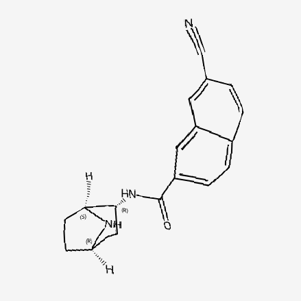 N#Cc1ccc2ccc(C(=O)N[C@@H]3C[C@H]4CC[C@@H]3N4)cc2c1